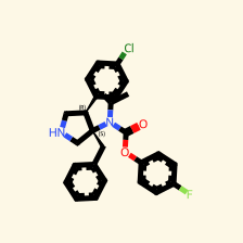 CC(C)N(C(=O)Oc1ccc(F)cc1)[C@]1(Cc2ccccc2)CNC[C@H]1c1ccc(Cl)cc1